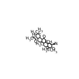 CNC(=O)[C@@]12CCC3C(C(=O)C=C4[C@@]3(C)CC[C@H]3C(C)(C)C(=O)C(C#N)=C[C@]43C)C1CC(C)(C)CC2